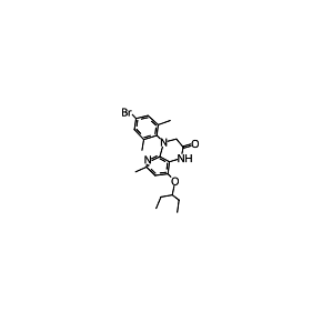 CCC(CC)Oc1cc(C)nc2c1NC(=O)CN2c1c(C)cc(Br)cc1C